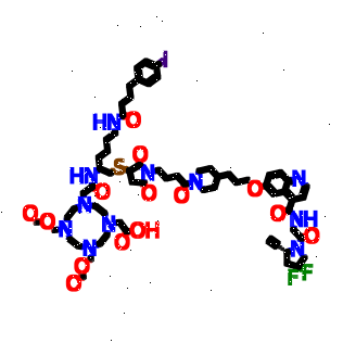 C#C[C@H]1CC(F)(F)CN1C(=O)CNC(=O)c1ccnc2ccc(OCCCC3CCN(C(=O)CCCN4C(=O)CC(SCC(CCCCNC(=O)CCCc5ccc(I)cc5)NC(=O)CN5CCN(COC=O)CCN(COC=O)CCN(CC(=O)O)CC5)C4=O)CC3)cc12